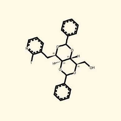 OC[C@H]1OC(c2ccccc2)O[C@@H]2[C@@H]1OC(c1ccccc1)O[C@@H]2Cc1cccnc1I